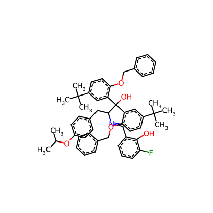 CC(C)Oc1ccc(CC(N=Cc2cccc(F)c2O)C(O)(c2cc(C(C)(C)C)ccc2OCc2ccccc2)c2cc(C(C)(C)C)ccc2OCc2ccccc2)cc1